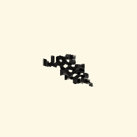 CCC(C)CNCc1ccc(O)c2c1C[C@H]1C[C@H]3CC(O)=C(C(N)=O)C(=O)[C@@]3(O)C(O)=C1C2=O